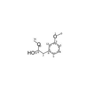 COc1cccc(CC(O)OC)c1